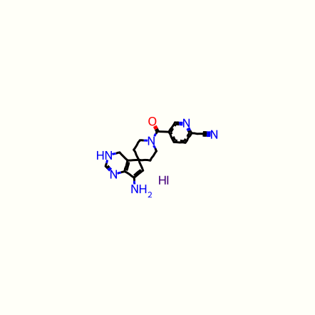 I.N#Cc1ccc(C(=O)N2CCC3(C=C(N)C4=C3CNC=N4)CC2)cn1